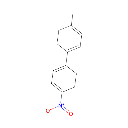 CC1=CC=C(C2=CC=C([N+](=O)[O-])CC2)CC1